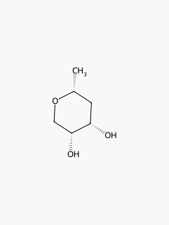 C[C@@H]1C[C@H](O)[C@H](O)CO1